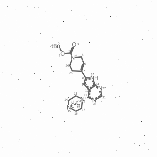 CC(C)(C)OC(=O)N1CC=C(c2cc3c([N+]45CCN(CC4)CC5)ncnc3[nH]2)CC1